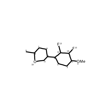 COC1CCC(C2CCC(C)OC2)C(F)C1F